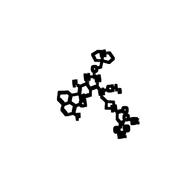 CCOP(=O)(CC(=O)N1CC(CN(C)c2nc(OCC34CCCN3CCC4)nc3c(F)c(-c4cccc5ccc(F)c(Cl)c45)ncc23)C1)OCC